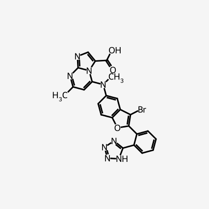 Cc1cc(N(C)c2ccc3oc(-c4ccccc4-c4nnn[nH]4)c(Br)c3c2)n2c(C(=O)O)cnc2n1